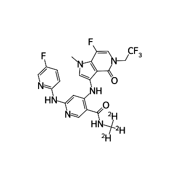 [2H]C([2H])([2H])NC(=O)c1cnc(Nc2ccc(F)cn2)cc1Nc1cn(C)c2c(F)cn(CC(F)(F)F)c(=O)c12